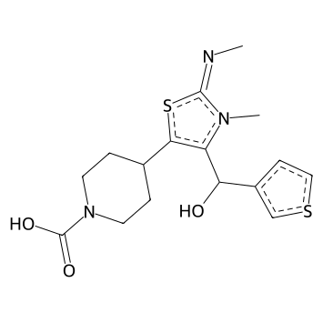 CN=c1sc(C2CCN(C(=O)O)CC2)c(C(O)c2ccsc2)n1C